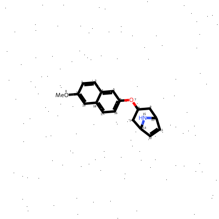 COc1ccc2cc(OC3CC4C=CC(C3)N4)ccc2c1